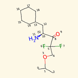 CC(C)OCC(F)(F)C(=O)[C@@H](N)CC1CCCCC1